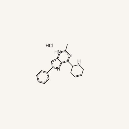 Cc1nc(C2CC=CCN2)c2nc(-c3ccccc3)cc-2[nH]1.Cl